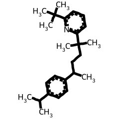 CC(C)c1ccc(C(C)CCC(C)(C)c2cccc(C(C)(C)C)n2)cc1